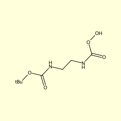 CC(C)(C)OC(=O)NCCNC(=O)OO